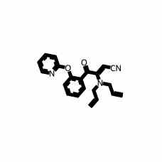 C=CCN(CC=C)/C(=C\C#N)C(=O)c1ccccc1Oc1ccccn1